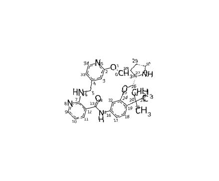 COc1cc(CNc2ncccc2C(=O)Nc2ccc(C(C)(C)C)c(OC[C@@H]3CCCN3)c2)ccn1